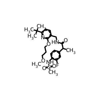 COCCCOc1nc(C(C)(C)C)ccc1CNC(=O)C(C)c1ccc(NS(C)(=O)=O)c(F)c1